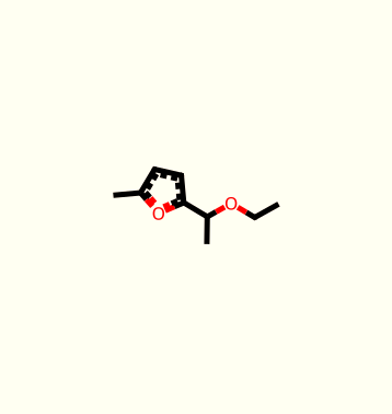 CCOC(C)c1ccc(C)o1